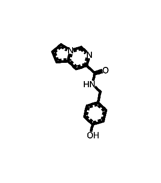 O=C(NCc1ccc(O)cc1)c1cc2cccn2cn1